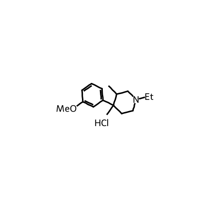 CCN1CCC(C)(c2cccc(OC)c2)C(C)C1.Cl